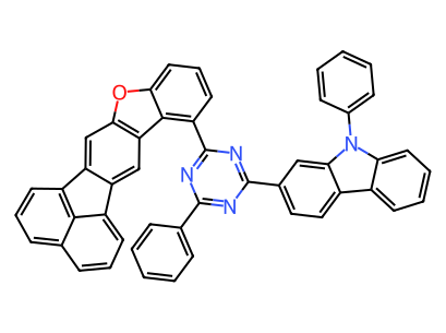 c1ccc(-c2nc(-c3ccc4c5ccccc5n(-c5ccccc5)c4c3)nc(-c3cccc4oc5cc6c(cc5c34)-c3cccc4cccc-6c34)n2)cc1